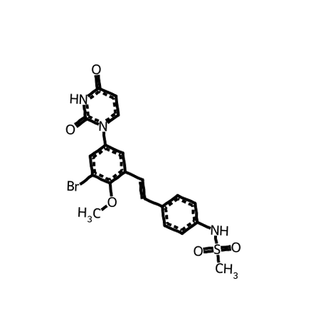 COc1c(Br)cc(-n2ccc(=O)[nH]c2=O)cc1/C=C/c1ccc(NS(C)(=O)=O)cc1